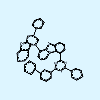 c1ccc(-c2cccc(-c3nc(-c4ccccc4)nc(-c4cccc5sc6c(-c7cc(-c8ccccc8)cc8oc9ccccc9c78)cccc6c45)n3)c2)cc1